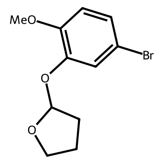 COc1ccc(Br)cc1OC1CCCO1